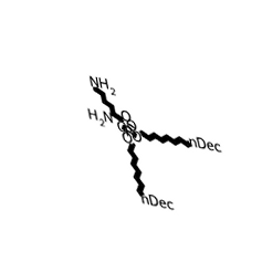 CCCCCCCCCCCCCCCCCCOP(=O)(OCCCCCCCCCCCCCCCCCC)OC(=O)[C@@H](N)CCCCN